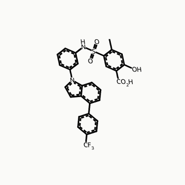 Cc1cc(O)c(C(=O)O)cc1S(=O)(=O)Nc1cccc(-n2ccc3c(-c4ccc(C(F)(F)F)cc4)cccc32)c1